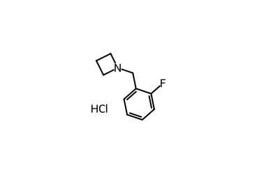 Cl.Fc1ccccc1CN1CCC1